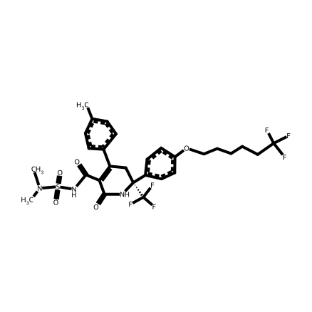 Cc1ccc(C2=C(C(=O)NS(=O)(=O)N(C)C)C(=O)N[C@@](c3ccc(OCCCCCC(F)(F)F)cc3)(C(F)(F)F)C2)cc1